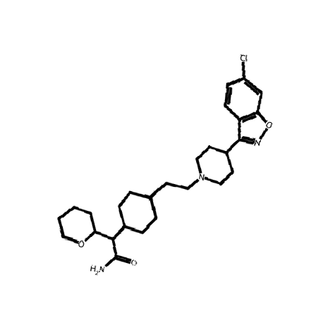 NC(=O)C(C1CCC(CCN2CCC(c3noc4cc(Cl)ccc34)CC2)CC1)C1CCCCO1